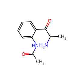 CC(=O)Nc1ccccc1C(=O)C(C)N